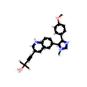 COc1ccc(-c2ncn(C)c2-c2ccc3ncc(C#CC(C)(C)O)cc3c2)cc1